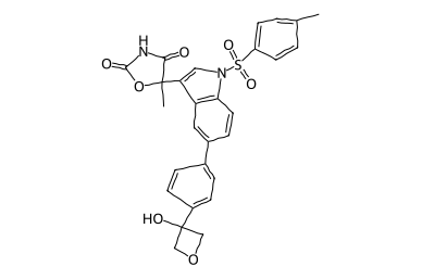 Cc1ccc(S(=O)(=O)n2cc(C3(C)OC(=O)NC3=O)c3cc(-c4ccc(C5(O)COC5)cc4)ccc32)cc1